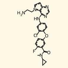 CN(C(=O)c1cc(Oc2ccc(Nc3ncnc4ccn(CCN)c34)cc2Cl)ccc1F)C1CC1